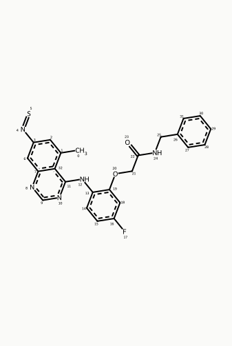 Cc1cc(N=S)cc2ncnc(Nc3ccc(F)cc3OCC(=O)NCc3ccccc3)c12